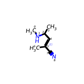 CNC(C)/C=C(\C)C#N